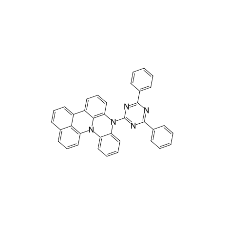 c1ccc(-c2nc(-c3ccccc3)nc(-n3c4cccc5c4-n(c4cccc6cccc5c64)c4ccccc43)n2)cc1